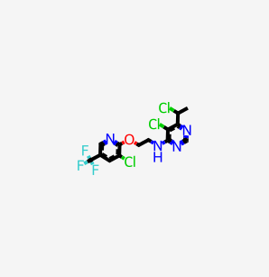 CC(Cl)c1ncnc(NCCOc2ncc(C(F)(F)F)cc2Cl)c1Cl